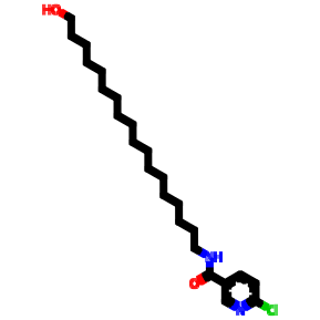 O=C(NCCCCCCCCCCCCCCCCCCO)c1ccc(Cl)nc1